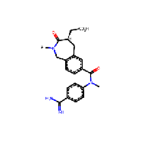 CC(C)N1Cc2ccc(C(=O)N(C)c3ccc(C(=N)N)cc3)cc2C[C@H](CC(=O)O)C1=O